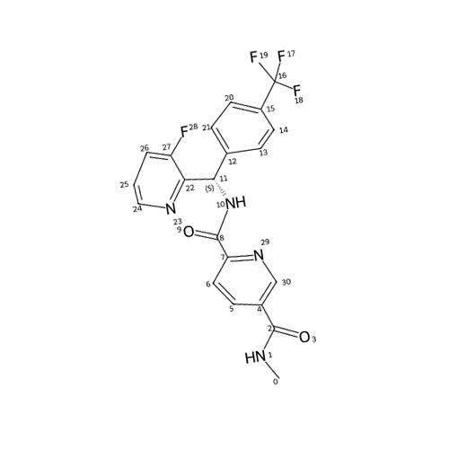 CNC(=O)c1ccc(C(=O)N[C@@H](c2ccc(C(F)(F)F)cc2)c2ncccc2F)nc1